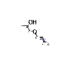 C/C=C/COCC(C)O